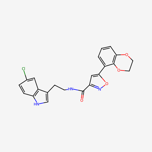 O=C(NCCc1c[nH]c2ccc(Cl)cc12)c1cc(-c2cccc3c2OCCO3)on1